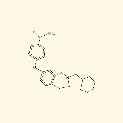 NC(=O)c1ccc(Oc2ccc3c(c2)CN(CC2CCCCC2)CC3)nc1